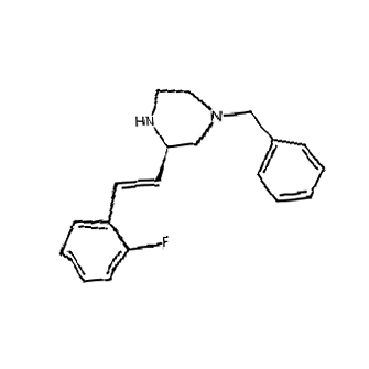 Fc1ccccc1C=C[C@@H]1CN(Cc2ccccc2)CCN1